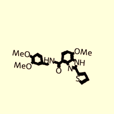 COc1ccc(CNC(=O)c2ccc(OC)c3[nH]c(-c4cccs4)nc23)cc1OC